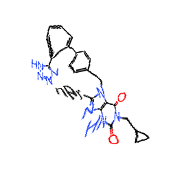 CCCc1nc2[nH]c(=O)n(CC3CC3)c(=O)c2n1Cc1ccc(-c2ccccc2-c2nnn[nH]2)cc1